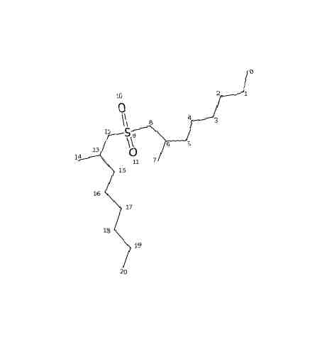 CCCCCCC(C)CS(=O)(=O)CC(C)CCCCCC